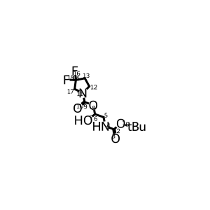 CC(C)(C)OC(=O)NCC(O)OC(=O)N1CCC(F)(F)C1